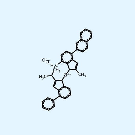 CC1=Cc2c(-c3ccc4ccccc4c3)ccc(C)c2[CH]1[Zr+2][CH]1C(C(C)C)=Cc2c(-c3ccccc3)cccc21.[Cl-].[Cl-]